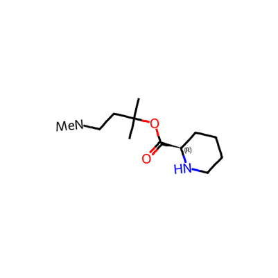 CNCCC(C)(C)OC(=O)[C@H]1CCCCN1